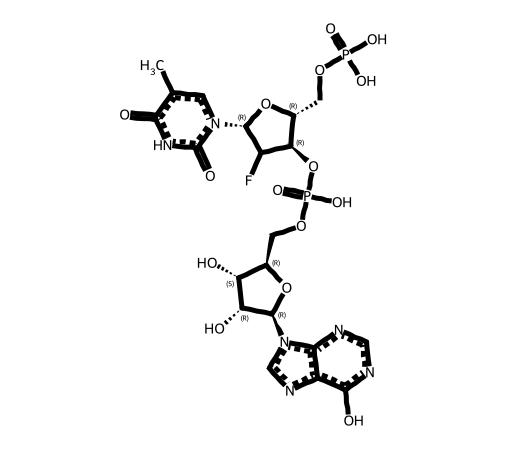 Cc1cn([C@@H]2O[C@H](COP(=O)(O)O)[C@@H](OP(=O)(O)OC[C@H]3O[C@@H](n4cnc5c(O)ncnc54)[C@H](O)[C@@H]3O)C2F)c(=O)[nH]c1=O